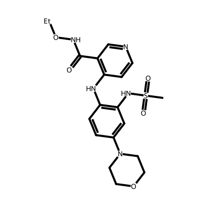 CCONC(=O)c1cnccc1Nc1ccc(N2CCOCC2)cc1NS(C)(=O)=O